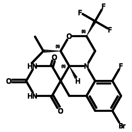 CC(C)[C@@H]1O[C@H](C(F)(F)F)CN2c3c(F)cc(Br)cc3CC3(C(=O)NC(=O)NC3=O)[C@@H]12